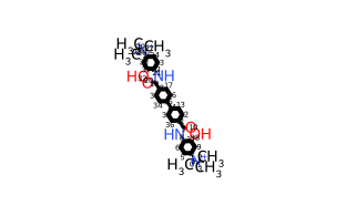 C[N+](C)(C)c1ccc(NC(=O)c2ccc(-c3ccc(C(=O)Nc4ccc([N+](C)(C)C)cc4O)cc3)cc2)c(O)c1